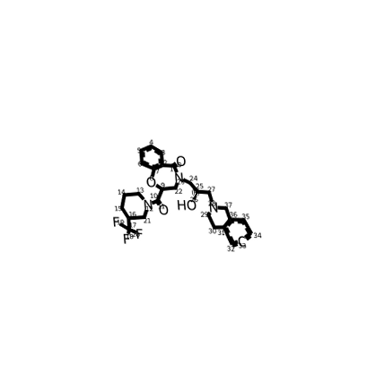 O=C1c2ccccc2OC(C(=O)N2CCCC(C(F)(F)F)C2)CN1C[C@H](O)CN1CCc2ccccc2C1